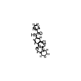 O=C(Nc1ccc(N2OCC3CCCCN3C2=S)c(Cl)c1)c1nccs1